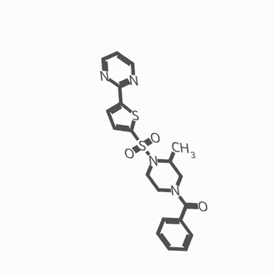 CC1CN(C(=O)c2ccccc2)CCN1S(=O)(=O)c1ccc(-c2ncccn2)s1